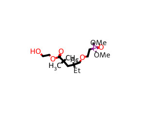 CCC(COCCP(=O)(OC)OC)(CC(C)(C)C(=O)OCCO)C(C)=O